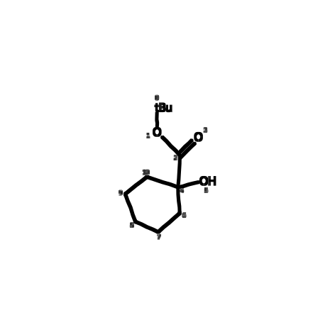 CC(C)(C)OC(=O)C1(O)CCCCC1